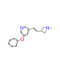 CN1CC(C=Cc2cncc(Oc3ccccc3)c2)C1